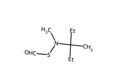 CCC(C)(CC)N(C)S[C]=O